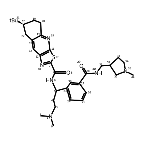 CN(C)CCC(NC(=O)c1nc2cc3c(nc2s1)CC[C@H](C(C)(C)C)C3)c1cccc(C(=O)NCC2CCN(C)C2)c1